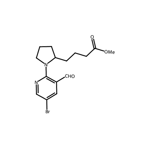 COC(=O)CCCC1CCCN1c1ncc(Br)cc1C=O